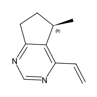 C=Cc1ncnc2c1[C@H](C)CC2